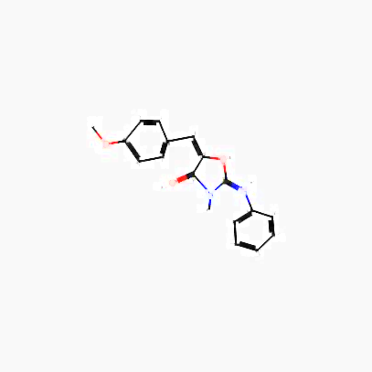 COc1ccc(/C=C2/OC(=Nc3ccccc3)N(C)C2=O)cc1